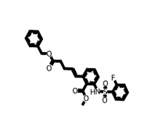 COC(=O)c1c(/C=C/CCC(=O)OCc2ccccc2)cccc1NS(=O)(=O)c1ccccc1F